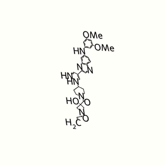 C=CC(=O)N1CC(O)(C(=O)N2CCC(N/C=C(\C=N)c3cnc4ccc(Nc5cc(OC)cc(OC)c5)cc4n3)CC2)C1